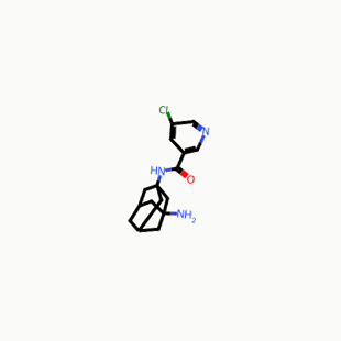 NC12CC3CC(C1)CC(NC(=O)c1cncc(Cl)c1)(C3)C2